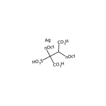 CCCCCCCCC(C(=O)O)C(CCCCCCCC)(C(=O)O)S(=O)(=O)O.[Ag]